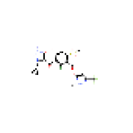 Cn1nc(C(F)(F)F)cc1OCc1c(S(C)(=O)=O)ccc(C(=O)c2c(C3CC3)nn(C)c2O)c1Cl